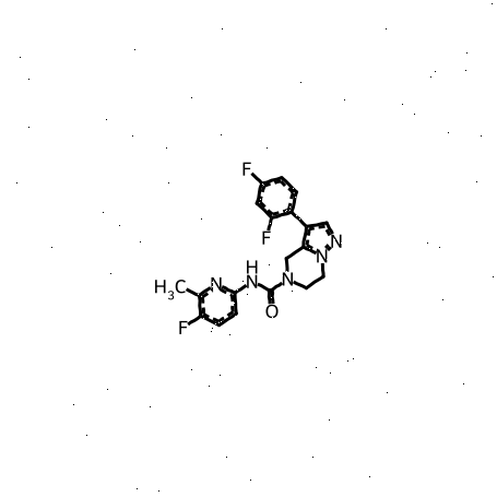 Cc1nc(NC(=O)N2CCn3ncc(-c4ccc(F)cc4F)c3C2)ccc1F